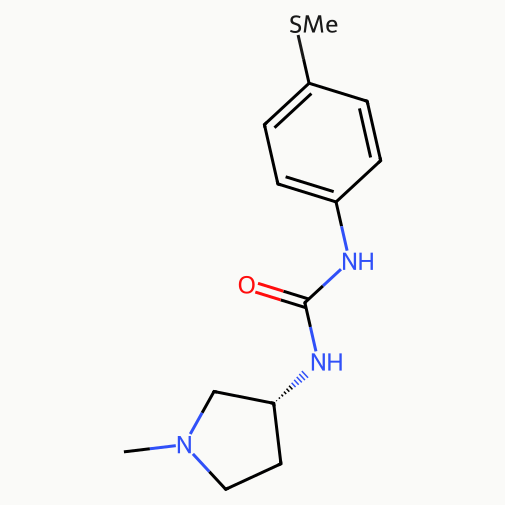 CSc1ccc(NC(=O)N[C@@H]2CCN(C)C2)cc1